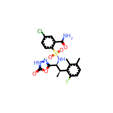 Cc1ccc(F)c([C@@H](C)[C@H](NS(=O)(=O)c2ccc(Cl)cc2C(N)=O)c2n[nH]c(=O)o2)c1C